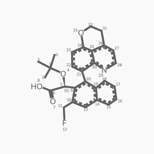 CC(C)(C)O[C@H](C(=O)O)c1c(CF)cc2ccccc2c1-c1ccc2c3c(ccnc13)CCO2